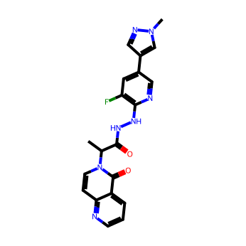 CC(C(=O)NNc1ncc(-c2cnn(C)c2)cc1F)n1ccc2ncccc2c1=O